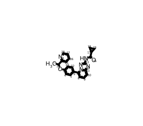 CC(Oc1ccc(-c2cccc3nc(NC(=O)C4CC4)nn23)cc1)c1ccccn1